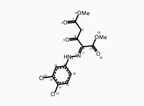 COC(=O)CC(=O)/C(=N\Nc1ccc(Cl)c(Cl)c1)C(=O)OC